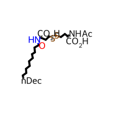 CCCCCCCCCCCCCCCCCCCC(=O)NC(CCSSCCC(NC(C)=O)C(=O)O)C(=O)O